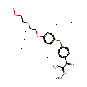 CCOCCOCCOc1ccc(Sc2ccc(C(=O)/C(C)=N/OC(C)=O)cc2)cc1